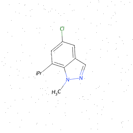 CC(C)c1cc(Cl)cc2cnn(C)c12